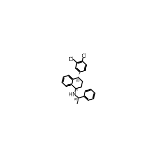 C[C@@H](N[C@@H]1CC[C@@H](c2ccc(Cl)c(Cl)c2)c2ccccc21)c1ccccc1